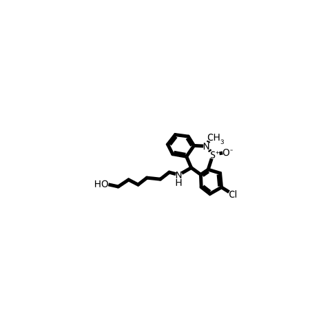 CN1c2ccccc2C(NCCCCCCO)c2ccc(Cl)cc2[S+]1[O-]